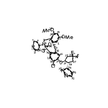 COc1ccc(CN(c2ccncn2)S(=O)(=O)c2cc(Cl)c(O[C@H]3CC(F)(F)C[C@@H]3c3ccnn3C)cc2F)c(OC)c1